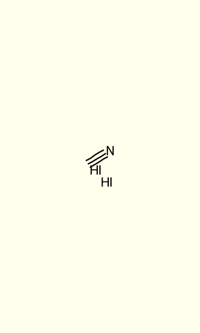 C#N.I.I